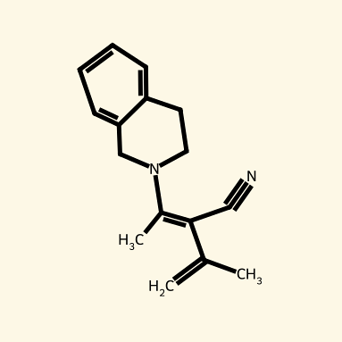 C=C(C)/C(C#N)=C(\C)N1CCc2ccccc2C1